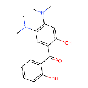 CN(C)c1cc(O)c(C(=O)c2ccccc2O)cc1N(C)C